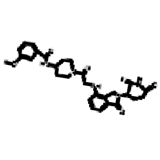 COc1cccc(C(=O)NC2CCN(C(=O)CNc3cccc4c3CN(C3CCC(=O)NC3=O)C4=O)CC2)c1